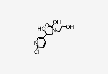 O=C(O)N(CCO)CC(O)c1ccc(Cl)nc1